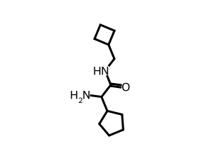 NC(C(=O)NCC1CCC1)C1CCCC1